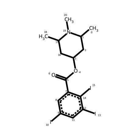 CC1CC(OC(=O)c2cc(I)cc(I)c2I)CC(C)N1C